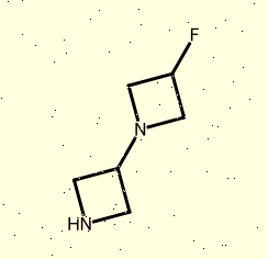 FC1CN(C2CNC2)C1